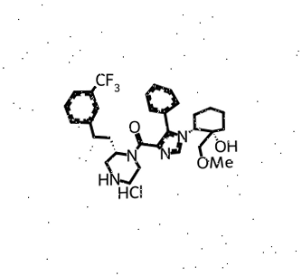 COC[C@]1(O)CCCC[C@H]1n1cnc(C(=O)N2CCNC[C@@H]2CCc2cccc(C(F)(F)F)c2)c1-c1ccccc1.Cl